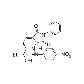 CC[C@@H](O)[C@H]1CC=C2C(=O)N(c3ccccc3)C(=O)[C@H]2N1Nc1ccc([N+](=O)[O-])cc1